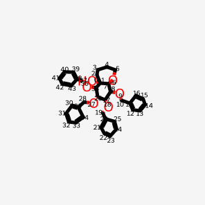 OC12CCCCOC1C(OCc1ccccc1)C(OCc1ccccc1)C(OCc1ccccc1)C2OCc1ccccc1